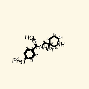 CC(C)Oc1ccc(C(=O)NCC2(C(C)C)CCCNC2)cc1.Cl